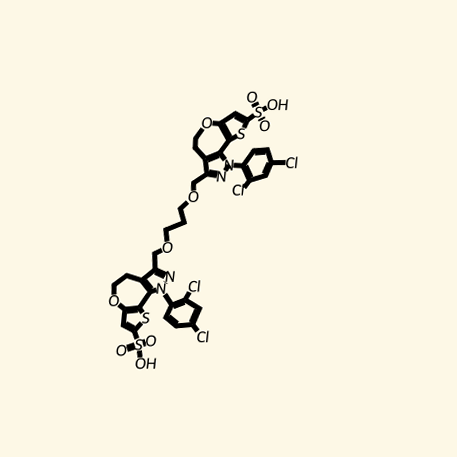 O=S(=O)(O)c1cc2c(s1)-c1c(c(COCCCOCc3nn(-c4ccc(Cl)cc4Cl)c4c3CCOc3cc(S(=O)(=O)O)sc3-4)nn1-c1ccc(Cl)cc1Cl)CCO2